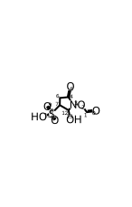 O=CON1C(=O)CC(S(=O)(=O)O)C1O